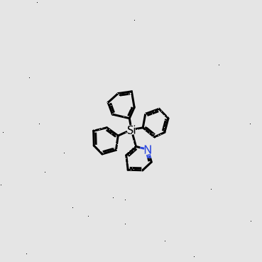 c1ccc([Si](c2ccccc2)(c2ccccc2)c2ccccn2)cc1